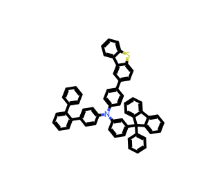 c1ccc(-c2ccccc2-c2ccc(N(c3ccc(-c4ccc5sc6ccccc6c5c4)cc3)c3cccc(C4(c5ccccc5)c5ccccc5-c5ccccc54)c3)cc2)cc1